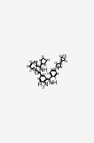 N=C(c1ccc(N2CC(C3COC3)C2)cc1)c1cc(C(=O)NC(c2ncccn2)C2CCCC2)ccc1N